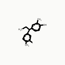 CCC(c1ccc(O)c(C)c1)c1ccc(C)c(I)c1